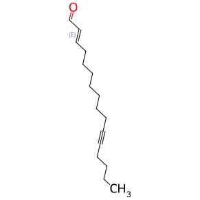 CCCCC#CCCCCCCC/C=C/C=O